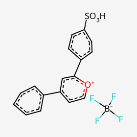 F[B-](F)(F)F.O=S(=O)(O)c1ccc(-c2cc(-c3ccccc3)cc[o+]2)cc1